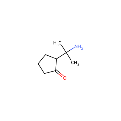 CC(C)(N)C1CCCC1=O